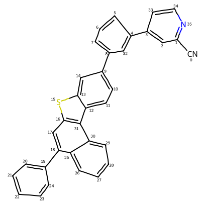 N#Cc1cc(-c2cccc(-c3ccc4c(c3)sc3cc(-c5ccccc5)c5ccccc5c34)c2)ccn1